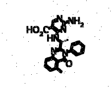 Cc1cccc2nc([C@@H](C)Nc3nc(N)ncc3C(=O)O)n(-c3ccccc3)c(=O)c12